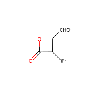 CC(C)C1C(=O)OC1[C]=O